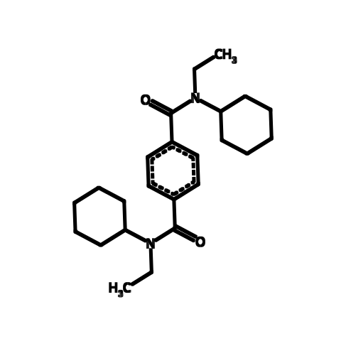 CCN(C(=O)c1ccc(C(=O)N(CC)C2CCCCC2)cc1)C1CCCCC1